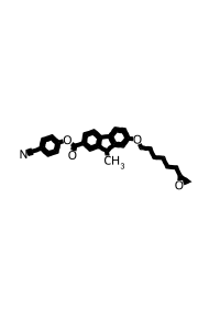 CC1c2cc(OCCCCCCC3CO3)ccc2-c2ccc(C(=O)Oc3ccc(C#N)cc3)cc21